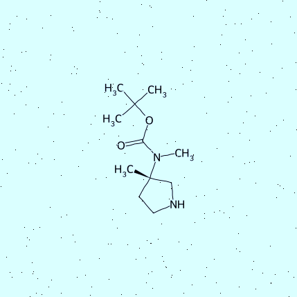 CN(C(=O)OC(C)(C)C)[C@@]1(C)CCNC1